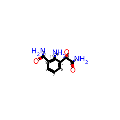 NC(=O)C(=O)c1cccc(C(N)=O)c1N